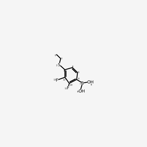 CCSc1ccc(B(O)O)c(F)c1F